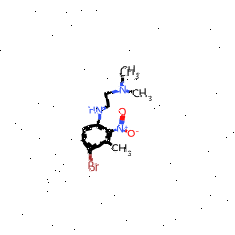 Cc1c(Br)ccc(NCCN(C)C)c1[N+](=O)[O-]